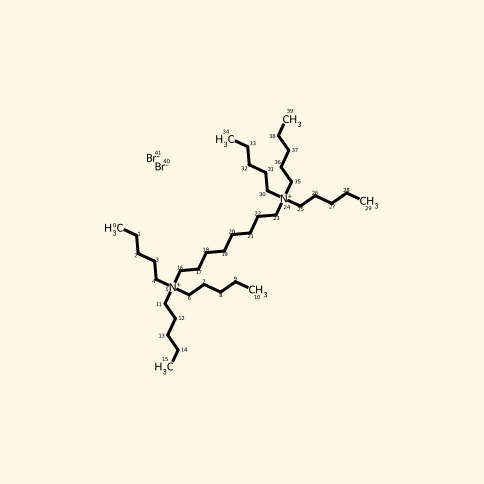 CCCCC[N+](CCCCC)(CCCCC)CCCCCCCC[N+](CCCCC)(CCCCC)CCCCC.[Br-].[Br-]